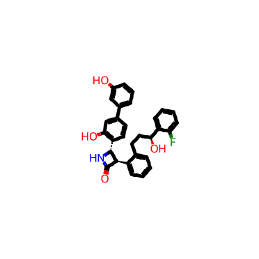 O=C1N[C@H](c2ccc(-c3cccc(O)c3)cc2O)[C@H]1c1ccccc1CC[C@H](O)c1ccccc1F